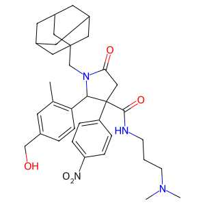 Cc1cc(CO)ccc1C1N(CC23CC4CC(CC(C4)C2)C3)C(=O)CC1(C(=O)NCCCN(C)C)c1ccc([N+](=O)[O-])cc1